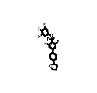 Fc1cc(OC(F)(F)c2c(F)cc(-c3ccc(C4CCCO4)cc3)cc2F)cc(F)c1F